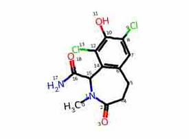 CN1C(=O)[C]Cc2cc(Cl)c(O)c(Cl)c2C1C(N)=O